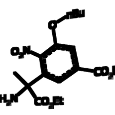 CCCCOc1cc(C(=O)OCC)cc(C(C)(N)C(=O)OCC)c1[N+](=O)[O-]